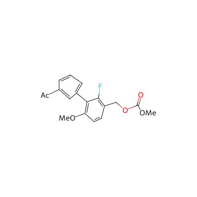 COC(=O)OCc1ccc(OC)c(-c2cccc(C(C)=O)c2)c1F